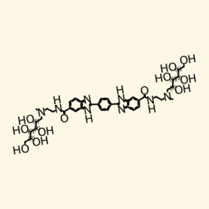 CN(CCNC(=O)c1ccc2nc(-c3ccc(-c4nc5ccc(C(=O)NCCN(C)C[C@H](O)[C@@H](O)[C@H](O)[C@H](O)CO)cc5[nH]4)cc3)[nH]c2c1)C[C@@H](O)[C@H](O)[C@@H](O)[C@@H](O)CO